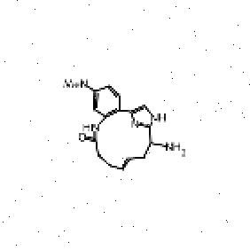 CNc1ccc2c(c1)NC(=O)CC/C=C/CC(N)c1nc-2c[nH]1